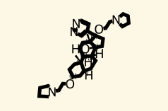 C[C@]12CC[C@H](OCCN3CCCC3)C[C@H]1CC[C@@H]1[C@@H]2CC[C@]2(C)[C@](OCCN3CCCC3)(c3ccnnc3)CC[C@]12O